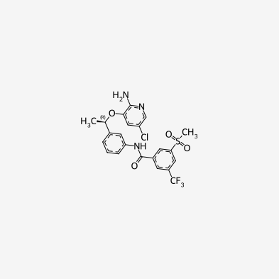 C[C@@H](Oc1cc(Cl)cnc1N)c1cccc(NC(=O)c2cc(C(F)(F)F)cc(S(C)(=O)=O)c2)c1